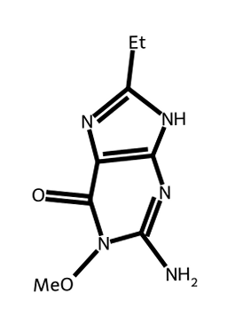 CCc1nc2c(=O)n(OC)c(N)nc2[nH]1